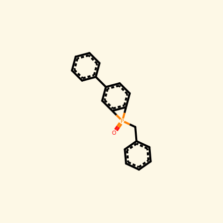 O=P1(Cc2ccccc2)c2ccc(-c3ccccc3)cc21